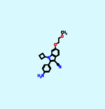 COCCOc1ccc2c(C#N)c(-c3ccc(N)cc3)n(C3CCC3)c2c1